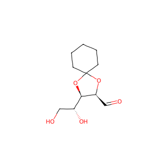 O=C[C@@H]1OC2(CCCCC2)O[C@@H]1[C@H](O)CO